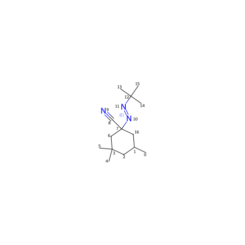 CC1CC(C)(C)CC(C#N)(/N=N/C(C)(C)C)C1